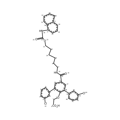 O=C(O)COc1c(-c2cccc(Cl)c2)cc(C(=O)NCCCCCCOC(=O)Nc2cccc3ccccc23)cc1-c1cccc(Cl)c1